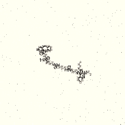 CCCCc1nc2c(N)nc3ccccc3c2n1CCCCNC(=O)CCCCCCC(=O)NCCCC[C@@H](C)NC(=O)CCC(=O)N1Cc2ccccc2C#Cc2ccccc21